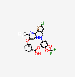 Cc1nc(-c2sc(Cl)cc2CNc2ccc3c(c2)OC(F)(F)O3)ccc1O[C@H]1CCC[C@H](C(=O)O)C1